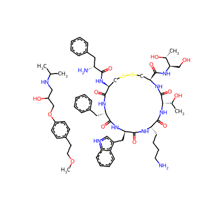 CC(O)[C@@H]1NC(=O)[C@H](CCCCN)NC(=O)[C@@H](Cc2c[nH]c3ccccc23)NC(=O)[C@H](Cc2ccccc2)NC(=O)[C@@H](NC(=O)[C@H](N)Cc2ccccc2)CSSC[C@@H](C(=O)N[C@H](CO)[C@@H](C)O)NC1=O.COCCc1ccc(OCC(O)CNC(C)C)cc1